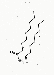 C=CCCCCCCC.CCCCCCCCC(N)=O